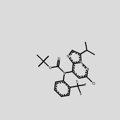 CC(C)c1cnc2c(N(C(=O)OC(C)(C)C)c3ccccc3C(F)(F)F)cc(Cl)nn12